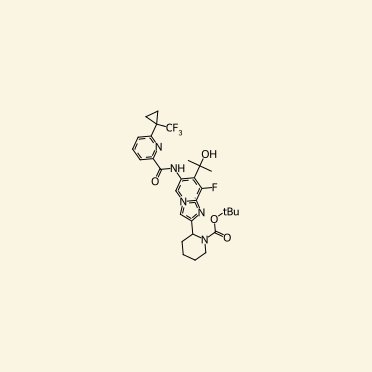 CC(C)(C)OC(=O)N1CCCCC1c1cn2cc(NC(=O)c3cccc(C4(C(F)(F)F)CC4)n3)c(C(C)(C)O)c(F)c2n1